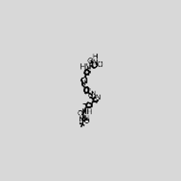 Cc1cc(-c2ccnc3nn(-c4ccc(CN5CCC(c6ccc(N[C@H]7CCC(=O)NC7=O)cc6)CC5)cc4)cc23)ccc1CNC(=O)c1noc(C(C)(C)C)n1